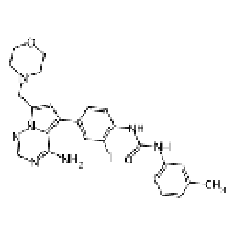 Cc1cccc(NC(=O)Nc2ccc(-c3cc(CN4CCOCC4)n4ncnc(N)c34)cc2I)c1